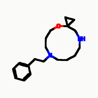 c1ccc(CCN2CCCCNCC3(CC3)OCCC2)cc1